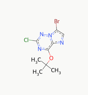 CC(C)(C)Oc1nc(Cl)nn2c(Br)cnc12